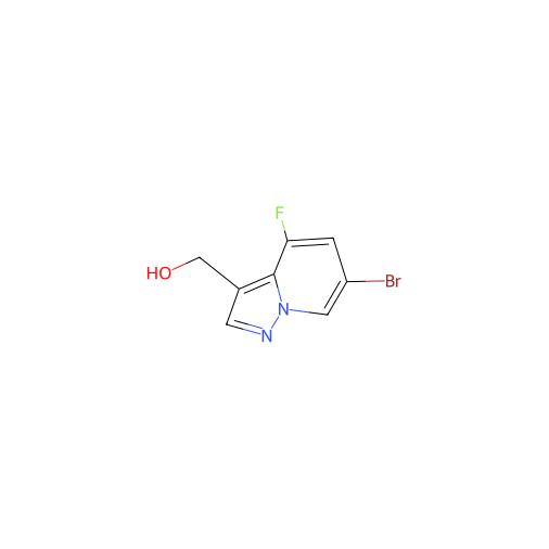 OCc1cnn2cc(Br)cc(F)c12